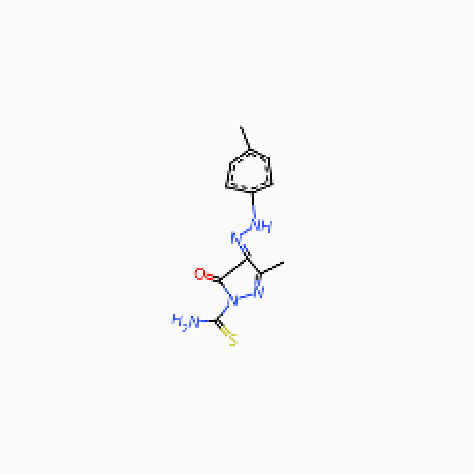 CC1=NN(C(N)=S)C(=O)/C1=N/Nc1ccc(C)cc1